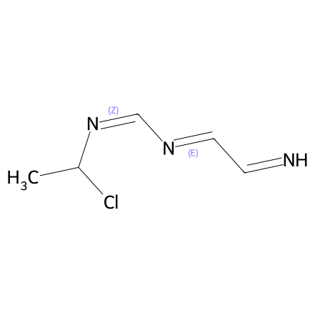 CC(Cl)/N=C\N=C\C=N